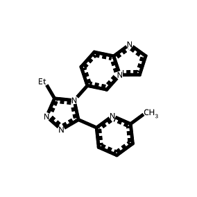 CCc1nnc(-c2cccc(C)n2)n1-c1ccc2nccn2c1